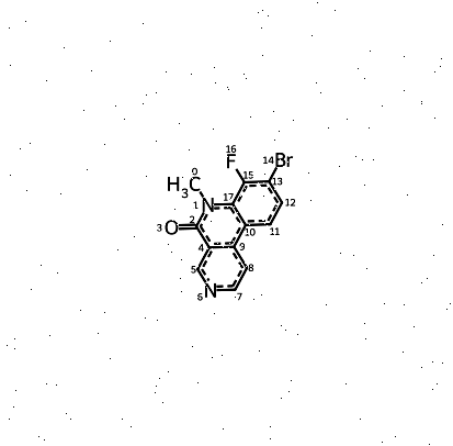 Cn1c(=O)c2cnccc2c2ccc(Br)c(F)c21